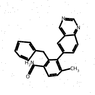 Cc1ccc(C(N)=O)c(Cc2ccccc2)c1-c1ccc2ncncc2c1